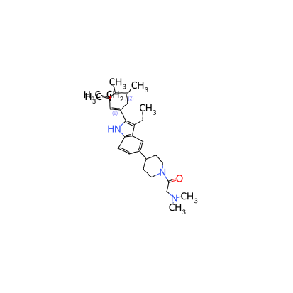 C=C(C)/C=C(\C=C(\C)C(C)CC)c1[nH]c2ccc(C3CCN(C(=O)CN(C)C)CC3)cc2c1CC